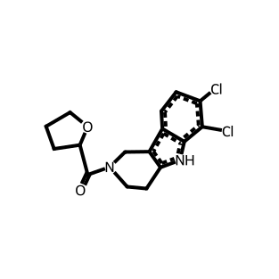 O=C(C1CCCO1)N1CCc2[nH]c3c(Cl)c(Cl)ccc3c2C1